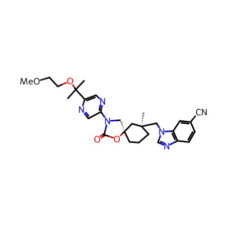 COCCOC(C)(C)c1cnc(N2C[C@]3(CCC[C@](C)(Cn4cnc5ccc(C#N)cc54)C3)OC2=O)cn1